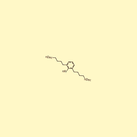 [CH2]CCc1c(CCCCCCCCCCCCCC)cccc1CCCCCCCCCCCCCC